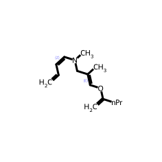 C=C/C=C\N(C)C/C(C)=C/OC(=C)CCC